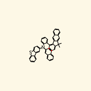 CC1(C)c2cc3ccccc3cc2-c2c(-c3ccccc3N(c3ccc4ccccc4c3)c3ccc4sc5ccccc5c4c3)cccc21